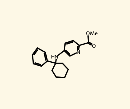 COC(=O)c1ccc(NC2(c3ccccc3)CCCCC2)cn1